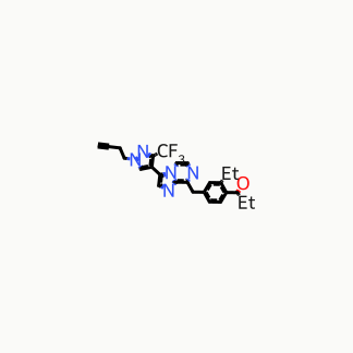 C#CCCn1cc(-c2cnc3c(Cc4ccc(C(=O)CC)c(CC)c4)nccn23)c(C(F)(F)F)n1